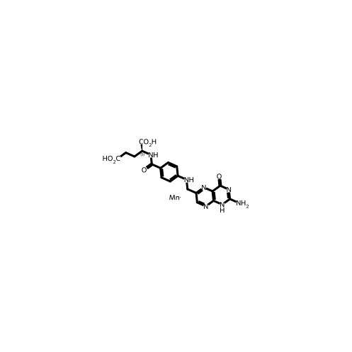 Nc1nc(=O)c2nc(CNc3ccc(C(=O)N[C@@H](CCC(=O)O)C(=O)O)cc3)cnc2[nH]1.[Mn]